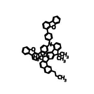 CCCc1ccc2ccc3c(c2c1)-c1cc2c(cc1C3(C)C)-c1c(N(c3ccc(-c4cccc5c4oc4ccccc45)cc3)c3ccc(-c4cccc5c4oc4ccccc45)cc3)cccc1C2(C)C